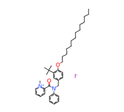 CCCCCCCCCCCCCCOc1ccc(CN(C(=O)c2cccc[n+]2C)c2ccccc2)cc1C(C)(C)C.[I-]